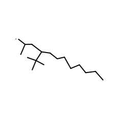 [CH2]C(C)CC(CCCCCCCC)C(C)(C)C